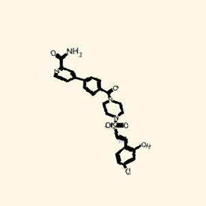 NC(=O)c1cc(-c2ccc(C(=O)N3CCN(S(=O)(=O)/C=C/c4ccc(Cl)cc4O)CC3)cc2)ccn1